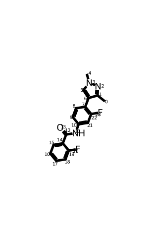 Cc1nn(C)cc1-c1ccc(NC(=O)c2ccccc2F)cc1F